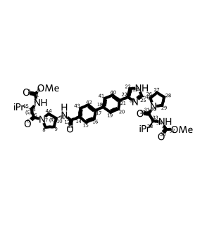 COC(=O)N[C@H](C(=O)N1CC[C@@H](NC(=O)c2ccc(-c3ccc(-c4c[nH]c([C@@H]5CCCN5C(=O)[C@@H](NC(=O)OC)C(C)C)n4)cc3)cc2)C1)C(C)C